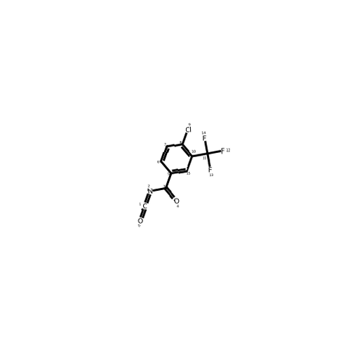 O=C=NC(=O)c1ccc(Cl)c(C(F)(F)F)c1